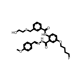 COc1ccc(C=NNC(=O)c2cc(OCCCCF)ccc2NC(=O)c2cccc(CSCCO)c2)cc1